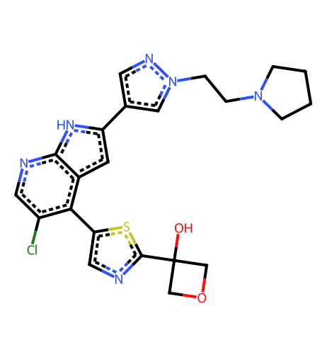 OC1(c2ncc(-c3c(Cl)cnc4[nH]c(-c5cnn(CCN6CCCC6)c5)cc34)s2)COC1